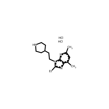 CCc1nc2c(C)cc(C)nc2n1CCC1CCNCC1.Cl.Cl